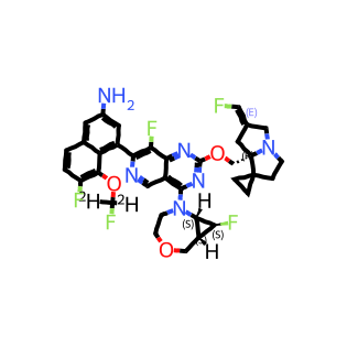 [2H]C([2H])(F)Oc1c(F)ccc2cc(N)cc(-c3ncc4c(N5CCOC[C@H]6[C@H](F)[C@H]65)nc(OC[C@]56C/C(=C\F)CN5CCC65CC5)nc4c3F)c12